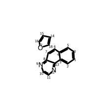 c1ccc2c(c1)ccc1nccnc12.c1ccoc1